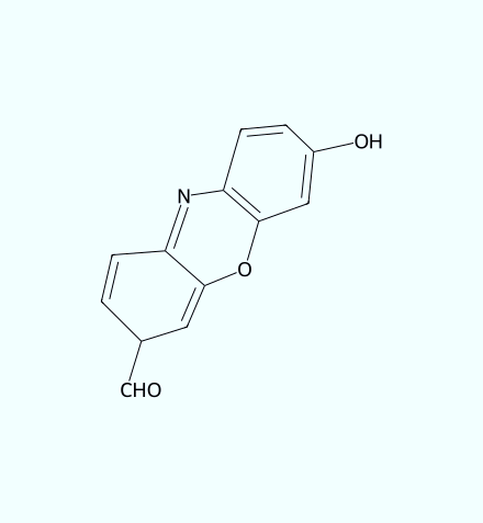 O=CC1C=CC2=Nc3ccc(O)cc3OC2=C1